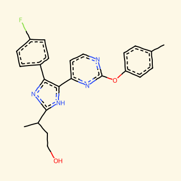 Cc1ccc(Oc2nccc(-c3[nH]c(C(C)CCO)nc3-c3ccc(F)cc3)n2)cc1